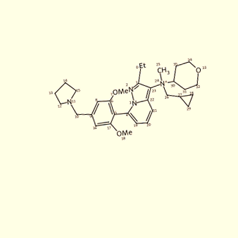 CCc1nn2c(-c3c(OC)cc(CN4CCCC4)cc3OC)cccc2c1[N+](C)(CC1CC1)C1CCOCC1